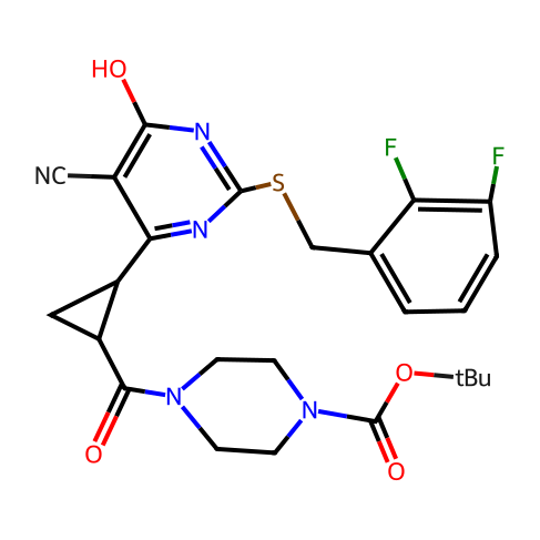 CC(C)(C)OC(=O)N1CCN(C(=O)C2CC2c2nc(SCc3cccc(F)c3F)nc(O)c2C#N)CC1